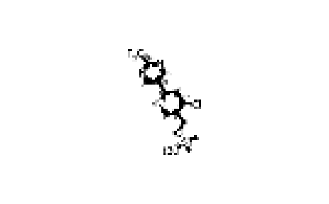 CC(C)(C)[Si](C)(C)OCc1cnc(-c2cnc(C(F)(F)F)nc2)cc1Cl